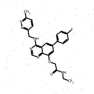 Cc1ccc(CNc2ncnc3c(OCC(=O)NCC(F)(F)F)cc(-c4ccc(F)cc4)cc23)nn1